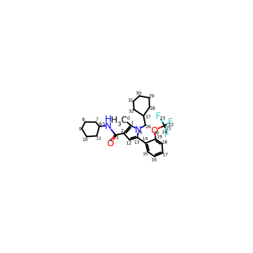 Cc1c(C(=O)NC2CCCCC2)cc(-c2ccccc2OC(F)(F)F)n1CC1CCCCC1